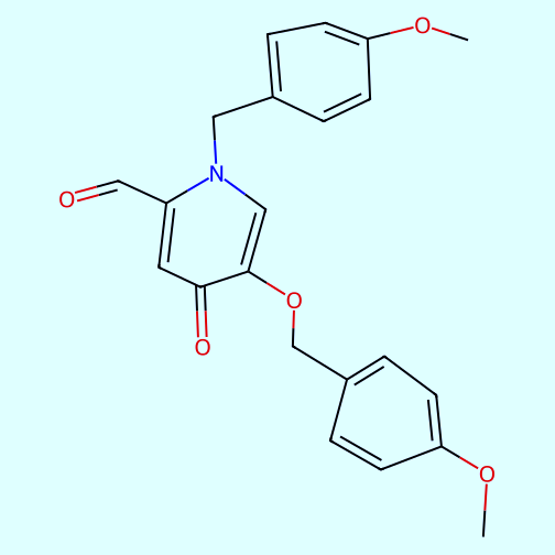 COc1ccc(COc2cn(Cc3ccc(OC)cc3)c(C=O)cc2=O)cc1